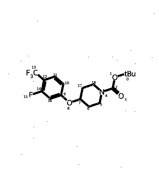 CC(C)(C)OC(=O)N1CCC(Oc2ccc(C(F)(F)F)c(F)c2)CC1